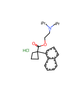 CC(C)N(CCOC(=O)C1(c2cccc3ccccc23)CCC1)C(C)C.Cl